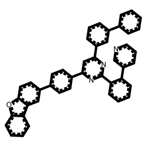 c1ccc(-c2cccc(-c3cc(-c4ccc(-c5ccc6oc7ccccc7c6c5)cc4)nc(-c4ccccc4-c4cccnc4)n3)c2)cc1